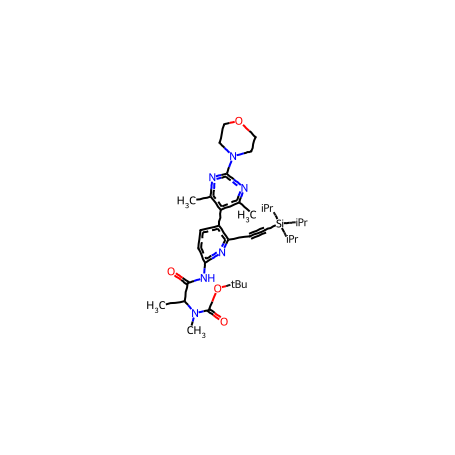 Cc1nc(N2CCOCC2)nc(C)c1-c1ccc(NC(=O)C(C)N(C)C(=O)OC(C)(C)C)nc1C#C[Si](C(C)C)(C(C)C)C(C)C